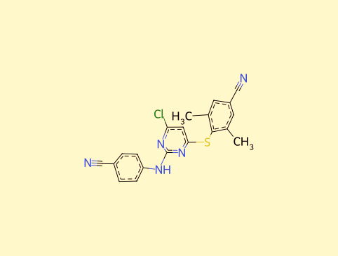 Cc1cc(C#N)cc(C)c1Sc1cc(Cl)nc(Nc2ccc(C#N)cc2)n1